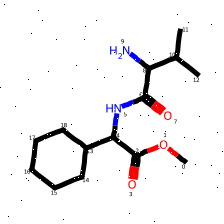 COC(=O)C(NC(=O)C(N)C(C)C)C1CCCCC1